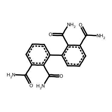 NC(=O)c1cccc(-c2cccc(C(N)=O)c2C(N)=O)c1C(N)=O